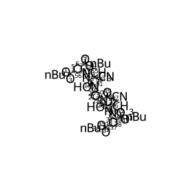 CCCCOC(=O)c1ccc(C(=O)OCCCC)c(/N=N/C2=C(O)N(c3cccc(-n4c(O)c(/N=N/c5cc(C(=O)OCCCC)ccc5C(=O)OCCCC)c(C)c(C#N)c4=O)c3)CC(C#N)=C2C)c1